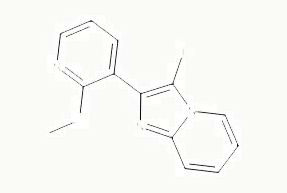 COc1ncccc1-c1nc2ccccn2c1I